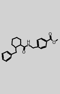 COC(=O)c1ccc(CNC(=O)C2CCCCC2Cc2ccccc2)cc1